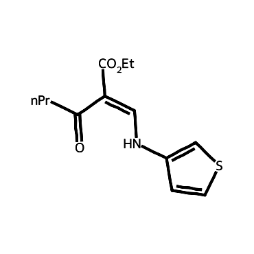 CCCC(=O)C(=CNc1ccsc1)C(=O)OCC